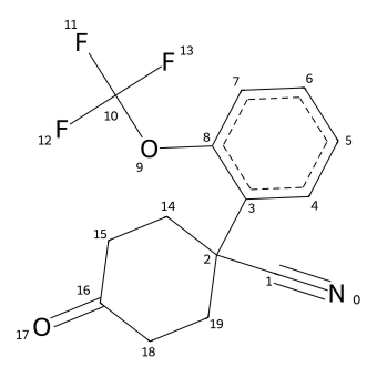 N#CC1(c2ccccc2OC(F)(F)F)CCC(=O)CC1